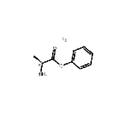 C[C@H](N)C(=O)Oc1ccccc1.[Fe]